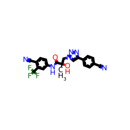 C[C@](O)(Cn1cc(-c2ccc(C#N)cc2)nn1)C(=O)Nc1ccc(C#N)c(C(F)(F)F)c1